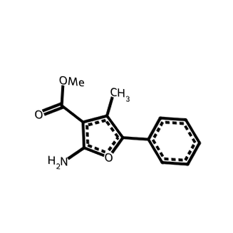 COC(=O)c1c(N)oc(-c2ccccc2)c1C